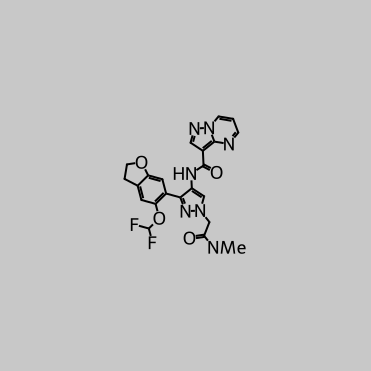 CNC(=O)Cn1cc(NC(=O)c2cnn3cccnc23)c(-c2cc3c(cc2OC(F)F)CCO3)n1